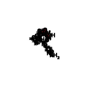 CC[C@H]1OC(=O)[C@H](C)C(=O)[C@H](C)[C@@H](O[C@@H]2O[C@H](C)C[C@H](N(C)C)[C@H]2O)[C@@]2(C)C[C@@H](C)/C(=N\C(C)=O)[C@H](C)[C@@H](OC/C(=N\OCc3ccc4oc(N)nc4c3)CO2)[C@]1(C)O